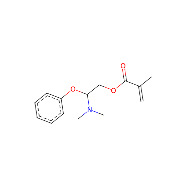 C=C(C)C(=O)OCC(Oc1ccccc1)N(C)C